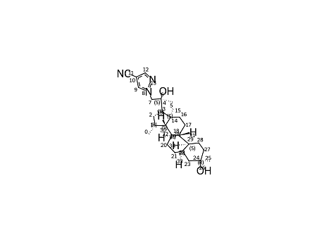 C[C@@H]1C[C@H]([C@](C)(O)Cn2cc(C#N)cn2)[C@@]2(C)CC[C@H]3[C@@H](CC[C@@H]4C[C@](C)(O)CC[C@@H]43)[C@H]12